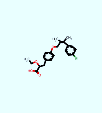 CCOC(Cc1ccc(OC/C(C)=C(/C)c2ccc(Br)cc2)cc1)C(=O)O